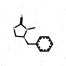 CN1C(=S)SC[C@@H]1Cc1ccccc1